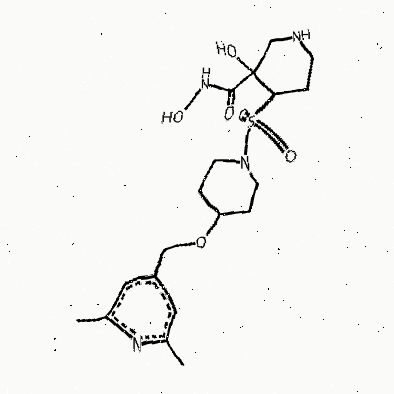 Cc1cc(COC2CCN(S(=O)(=O)C3CCNCC3(O)C(=O)NO)CC2)cc(C)n1